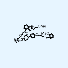 COCCCc1nc2c(C(CCOCC[Si](C)(C)C)OC3CN(C(=O)O)CCC3c3ccc(OCCCOCc4ccccc4OC)cc3)cccc2[nH]1